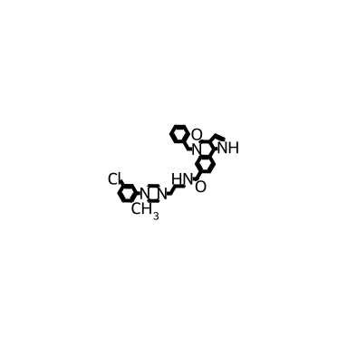 Cc1ccc(Cl)cc1N1CCN(CCCNC(=O)c2ccc3c(c2)N(Cc2ccccc2)C(=O)C2C=CNC32)CC1